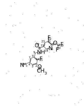 COc1cc(C#N)cc(CNC(=O)c2cnc(OC(F)F)c(F)c2)c1F